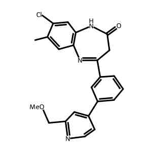 COCc1cc(-c2cccc(C3=Nc4cc(C)c(Cl)cc4NC(=O)C3)c2)ccn1